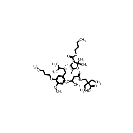 CCCCOC(=O)N1[C@@H](C[C@H](Cc2ccc(OC)c(OCCCOC)c2)C(C)C)[C@H](C[C@H](C(=O)NCC(CC)(CC)C(=O)O)C(C)C)OC1(C)C